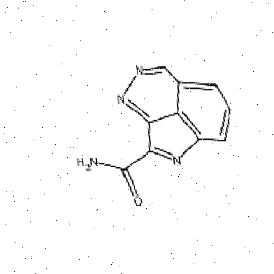 NC(=O)C1=Nc2cccc3cnnc1c23